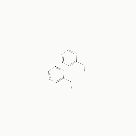 [Cl-].[O-]Cc1ccccn1.[O-]Cc1ccccn1.[Zr+3]